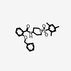 Cc1cc(C)c(S(=O)(=O)N2CCC(NC(=O)c3ccccc3OCc3ccccc3)CC2)c(C)c1